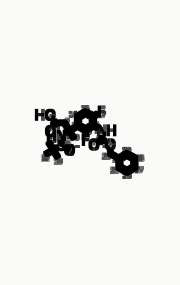 CC(CC(=O)O)(N[S+]([O-])C(C)(C)C)c1ccc(F)c(NC(=O)OCc2ccccc2)c1F